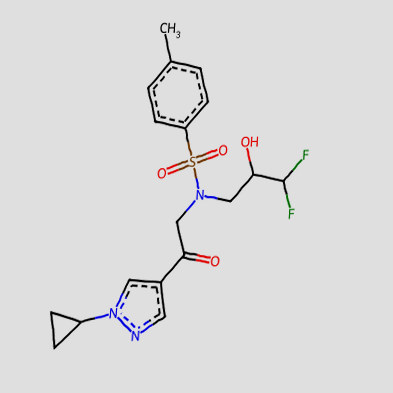 Cc1ccc(S(=O)(=O)N(CC(=O)c2cnn(C3CC3)c2)CC(O)C(F)F)cc1